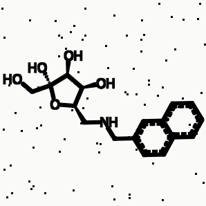 OC[C@]1(O)O[C@H](CNCc2ccc3ccccc3c2)[C@H](O)[C@@H]1O